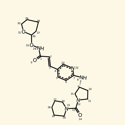 O=C(C=Cc1ccc(N[C@@H]2CCN(C(=O)N3CCCCC3)C2)nc1)NOC1CCCCO1